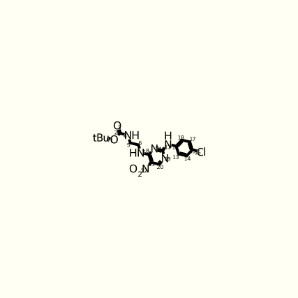 CC(C)(C)OC(=O)NCCNc1nc(Nc2ccc(Cl)cc2)ncc1[N+](=O)[O-]